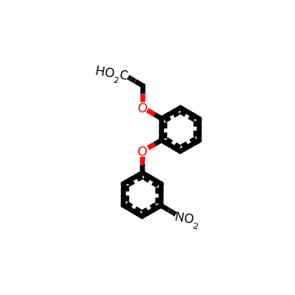 O=C(O)COc1ccccc1Oc1cccc([N+](=O)[O-])c1